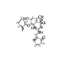 N#Cc1cc(C#N)c2c(c1Oc1ccccc1F)NC(NCc1ncccc1Cl)=NS2(=O)=O